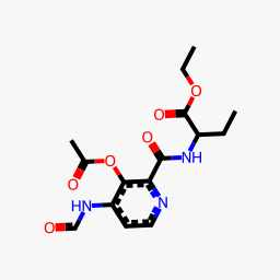 CCOC(=O)C(CC)NC(=O)c1nccc(NC=O)c1OC(C)=O